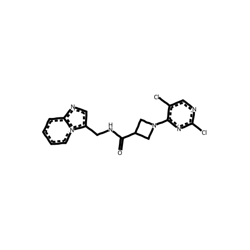 O=C(NCc1cnc2ccccn12)C1CN(c2nc(Cl)ncc2Cl)C1